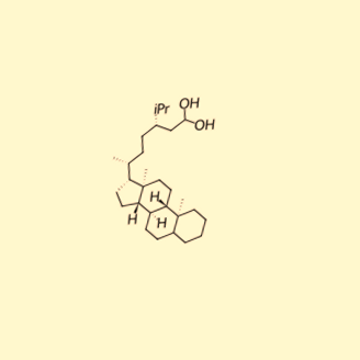 CC(C)[C@@H](CC[C@@H](C)[C@H]1CC[C@H]2[C@@H]3CCC4CCCC[C@]4(C)[C@H]3CC[C@]12C)CC(O)O